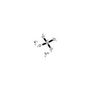 [K+].[O-][Si]([O-])([O-])[O-].[Ti+4]